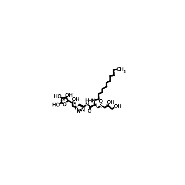 CCCCCCCCCCC(=O)N[C@H](CSC[C@H](O)CO)C(=O)Nc1cn(C[C@H](O)C2OC(O)[C@@H](O)[C@@H]2O)nn1